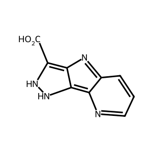 O=C(O)c1[nH][nH]c2c3ncccc3nc1-2